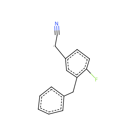 N#C[CH]c1ccc(F)c(Cc2ccccc2)c1